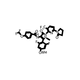 COc1cc(F)c(-c2c(NC(=O)c3ccc(OC(F)F)cc3)c(=O)n(-c3nc(N4CCCC4=O)ccc3C(F)(F)F)n2C)c(F)c1